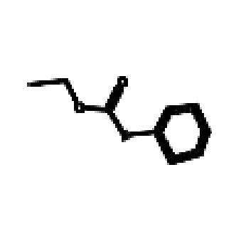 [CH2]COC(=O)Sc1ccccc1